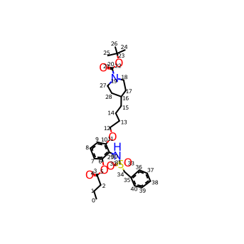 CCCC(=O)Oc1cccc(OCCCCC2CCN(C(=O)OC(C)(C)C)CC2)c1NS(=O)(=O)Cc1ccccc1